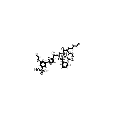 CCCCCC(C(=O)NCNC(=O)c1ccc(-c2cc(OCC)cc(P(=O)(O)O)c2)o1)C(CC)N(C=O)OC(=O)c1ccccc1